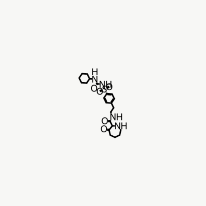 O=C(NC1CCCCC1)NS(=O)(=O)c1ccc(CCNC(=O)C2NCCCCC2=O)cc1